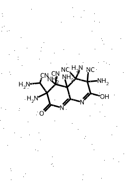 [C-]#[N+]C1(N)C(O)=NC2=NC(=O)C(N)(C(N)C#N)C(N)(C#N)C2(N)C1(N)C#N